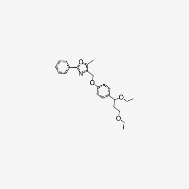 CCOCCC(OCC)c1ccc(OCc2nc(-c3ccccc3)oc2C)cc1